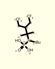 CC(C)(C)N(C(C)(C)C(CC(F)(F)F)CC(F)(F)F)P(=O)(O)O